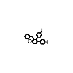 Ic1ccc(-c2ccc3c(c2-c2ccc(I)cc2)Cc2ccccc2O3)cc1